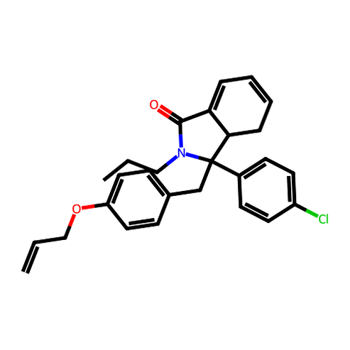 C=CCOc1ccc(CC2(c3ccc(Cl)cc3)C3CC=CC=C3C(=O)N2CCC)cc1